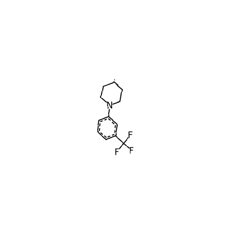 FC(F)(F)c1cccc(N2CC[CH]CC2)c1